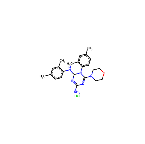 Cc1ccc(NC2N=C(N)N=C(N3CCOCC3)N2c2ccc(C)cc2C)c(C)c1.Cl